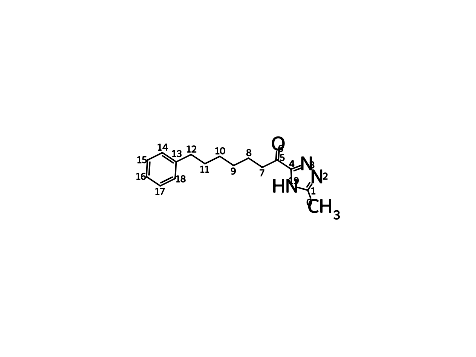 Cc1nnc(C(=O)CCCCCCc2ccccc2)[nH]1